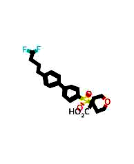 O=C(O)C1(S(=O)(=O)c2ccc(-c3ccc(CCCC(F)F)cc3)cc2)CCOCC1